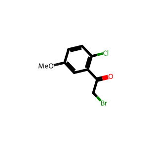 COc1ccc(Cl)c(C(=O)CBr)c1